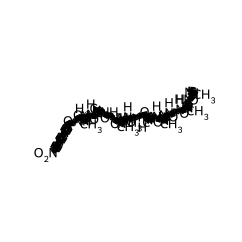 Cn1cc(NC(=O)c2nc(NC(=O)CCNC(=O)c3cc(NC(=O)c4nccn4C)cn3C)cn2C)cc1C(=O)NCCCC(=O)Nc1cn(C)c(C(=O)NCCC(=O)Nc2cc(C(=O)Nc3cn(C)c(C(=O)NCCC(=O)N4CCN(C5CCN(c6ccc([N+](=O)[O-])cc6)CC5)CC4)n3)n(C)c2)n1